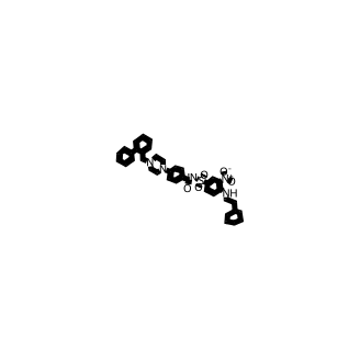 O=C(NS(=O)(=O)c1ccc(NCCC2CCCCC2)c([N+](=O)[O-])c1)c1ccc(N2CCN(Cc3ccccc3-c3ccccc3)CC2)cc1